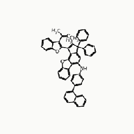 C=C(C)c1c(C2=C(C)C(c3ccccc3)(c3ccccc3)c3cc(Nc4ccc(-c5cccc6ccccc56)cc4)c4c(oc5ccccc54)c32)oc2ccccc12